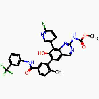 COC(=O)Nc1ncc2cc(-c3cc(C(=O)Nc4cccc(C(F)(F)F)c4)ccc3C)c(O)c(-c3ccc(F)nc3)c2n1